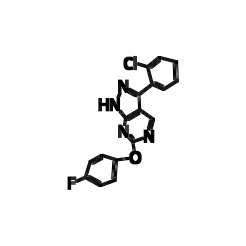 Fc1ccc(Oc2ncc3c(-c4ccccc4Cl)n[nH]c3n2)cc1